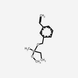 C=Cc1cccc(CO[Si](C)(CC)OC)c1